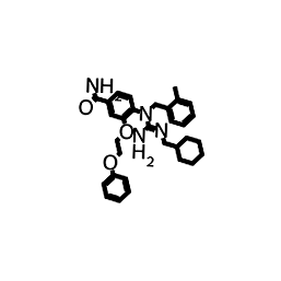 Cc1ccccc1CN(C(N)=NCC1CCCCC1)c1ccc(C(N)=O)cc1OCCOc1ccccc1